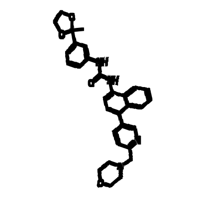 CC1(c2cccc(NC(=O)Nc3ccc(-c4ccc(CN5CCOCC5)nc4)c4ccccc34)c2)OCCO1